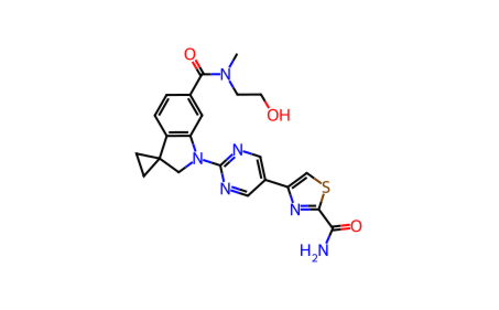 CN(CCO)C(=O)c1ccc2c(c1)N(c1ncc(-c3csc(C(N)=O)n3)cn1)CC21CC1